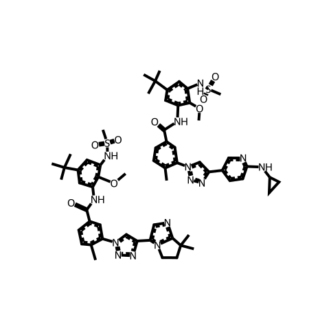 COc1c(NC(=O)c2ccc(C)c(-n3cc(-c4ccc(NC5CC5)nc4)nn3)c2)cc(C(C)(C)C)cc1NS(C)(=O)=O.COc1c(NC(=O)c2ccc(C)c(-n3cc(-c4cnc5n4CCC5(C)C)nn3)c2)cc(C(C)(C)C)cc1NS(C)(=O)=O